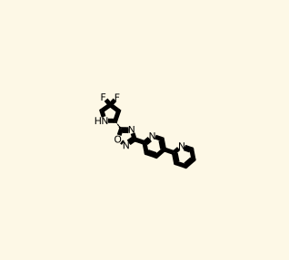 FC1(F)CN[C@@H](c2nc(-c3ccc(-c4ccccn4)cn3)no2)C1